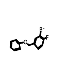 Fc1ccc(COc2ccccc2)cc1Br